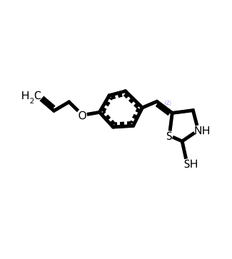 C=CCOc1ccc(/C=C2/CNC(S)S2)cc1